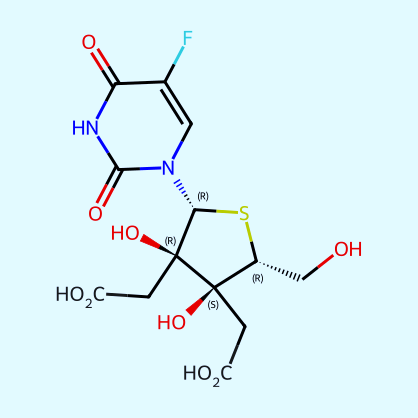 O=C(O)C[C@@]1(O)[C@@H](CO)S[C@@H](n2cc(F)c(=O)[nH]c2=O)[C@@]1(O)CC(=O)O